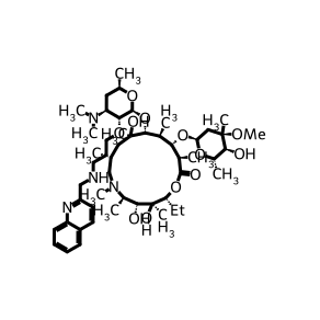 CC[C@H]1OC(=O)[C@H](C)[C@@H](O[C@H]2C[C@@](C)(OC)[C@@H](O)[C@H](C)O2)[C@H](C)[C@@H](O[C@@H]2O[C@H](C)C[C@H](N(C)C)[C@H]2OCCCNCc2ccc3ccccc3n2)[C@](C)(O)C[C@@H](C)CN(C)[C@H](C)[C@@H](O)[C@]1(C)O